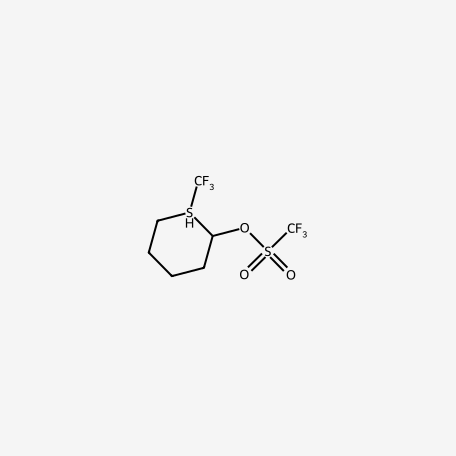 O=S(=O)(OC1CCCC[SH]1C(F)(F)F)C(F)(F)F